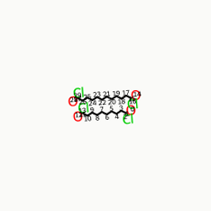 O=C(Cl)CCCCCCCCC(=O)Cl.O=C(Cl)CCCCCCCCCCC(=O)Cl